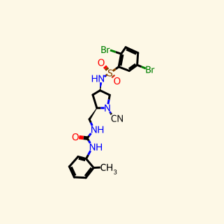 Cc1ccccc1NC(=O)NC[C@H]1C[C@@H](NS(=O)(=O)c2cc(Br)ccc2Br)CN1C#N